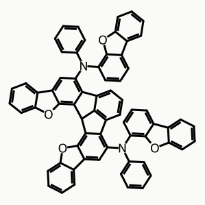 c1ccc(N(c2cc3c(oc4ccccc43)c3c2-c2cccc4c2C3c2c-4c(N(c3ccccc3)c3cccc4c3oc3ccccc34)cc3c2oc2ccccc23)c2cccc3c2oc2ccccc23)cc1